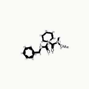 CON(C)C(=O)[N+]1(C(=O)OCc2ccccc2)CCCCC1